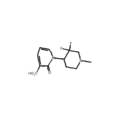 CN1CCC(n2cccc(C(=O)O)c2=O)C(F)(F)C1